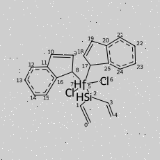 C=C[SiH](C=C)[Hf]([Cl])([Cl])([CH]1C=Cc2ccccc21)[CH]1C=Cc2ccccc21